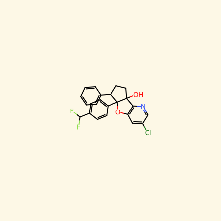 OC12CCC(c3ccccc3)C1(c1ccc(C(F)F)cc1)Oc1cc(Cl)cnc12